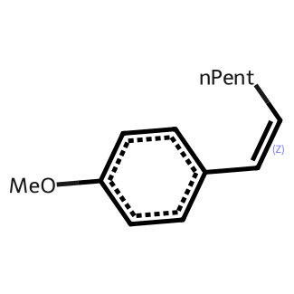 CCCCC/C=C\c1ccc(OC)cc1